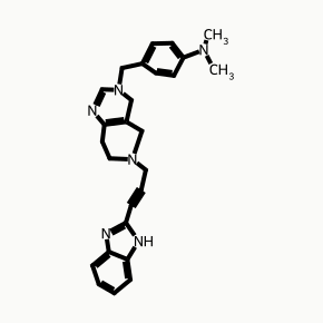 CN(C)c1ccc(CN2C=NC3=C(C2)CN(CC#Cc2nc4ccccc4[nH]2)CC3)cc1